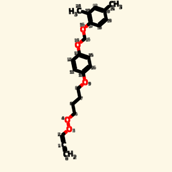 C=C=COOCCCCOc1ccc(OCOc2ccc(C)cc2C)cc1